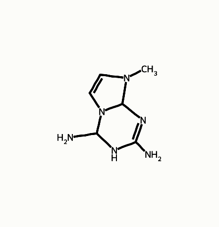 CN1C=CN2C(N)NC(N)=NC12